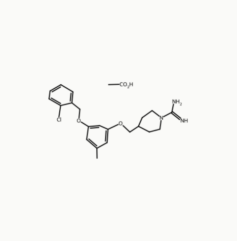 CC(=O)O.Cc1cc(OCc2ccccc2Cl)cc(OCC2CCN(C(=N)N)CC2)c1